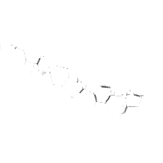 CC1=NN(c2ccc(C(=O)N[C@H]3CC[C@H](NC(=O)CCN)CC3)cc2)C(=O)C1